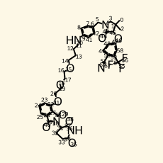 CC1(C)CN(Cc2ccc(NCCCCOCCOCCOc3cccc4c3C(=O)N(C3CCC(=O)NC3=O)C4=O)cc2)C(=O)C1Oc1ccc(C#N)c(C(F)(F)F)c1